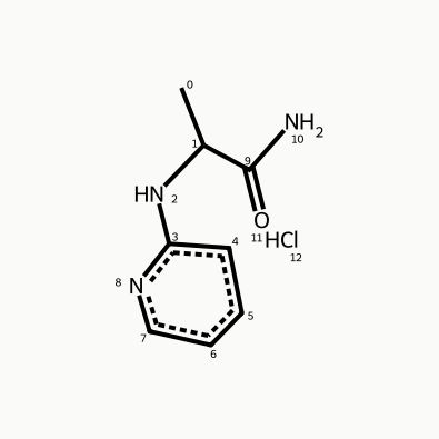 CC(Nc1ccccn1)C(N)=O.Cl